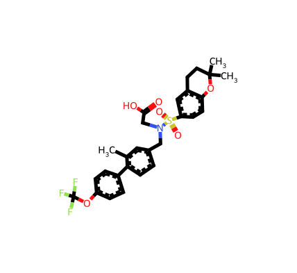 Cc1cc(CN(CC(=O)O)S(=O)(=O)c2ccc3c(c2)CCC(C)(C)O3)ccc1-c1ccc(OC(F)(F)F)cc1